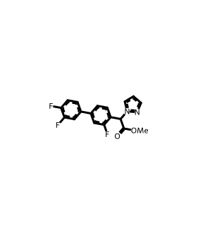 COC(=O)C(c1ccc(-c2ccc(F)c(F)c2)cc1F)n1cccn1